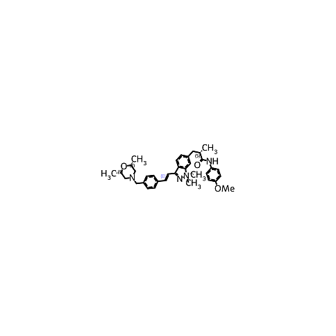 COc1ccc(NC(=O)[C@@H](C)Cc2ccc3c(c2)[N+](C)(C)N=C3/C=C/c2ccc(CN3C[C@@H](C)O[C@@H](C)C3)cc2)cc1